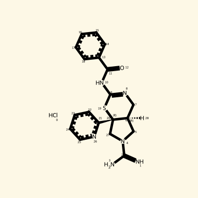 Cl.N=C(N)N1C[C@@H]2CN=C(NC(=O)c3ccccc3)S[C@@]2(c2ccccn2)C1